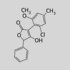 COc1cc(C)cc(Cl)c1C1=C(O)C(c2ccccc2)OC1=O